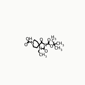 CCN1C(=O)N(C(=O)OC(C)(C)C)C(=O)C12CCN(C(=O)O)CC2